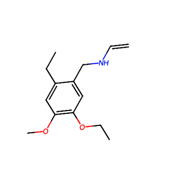 C=CNCc1cc(OCC)c(OC)cc1CC